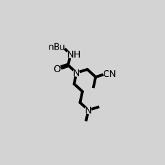 CCCCNC(=O)N(CCCN(C)C)CC(C)C#N